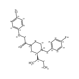 CCC(C)[C@H]1CN(C(=O)COc2ccc(Cl)cc2)CCN1Cc1ccc(F)cc1